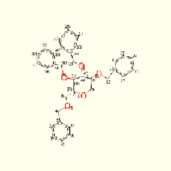 c1ccc(COC[C@H]2OC[C](OCc3ccccc3)[C@@H](OCc3ccccc3)[C@@H]2OCc2ccccc2)cc1